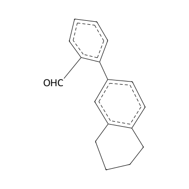 O=Cc1ccccc1-c1ccc2c(c1)CCCC2